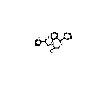 O=C(CN1C(=O)CN=C(c2ccccc2)c2ccccc21)c1cccs1